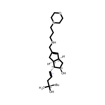 CCCC[C@](C)(O)C/C=C/[C@@H]1[C@H]2CC(CNCCCN3CCOCC3)=C[C@H]2C[C@H]1O